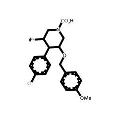 COc1ccc(COC2CN(C(=O)O)CC(C(C)C)C2c2ccc(Cl)cc2)cc1